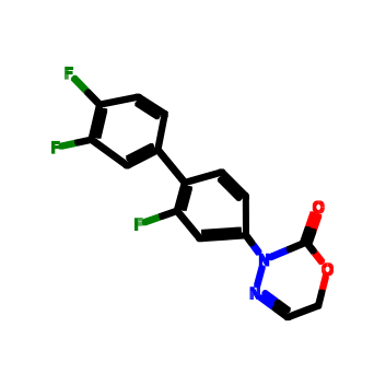 O=C1OCC=NN1c1ccc(-c2ccc(F)c(F)c2)c(F)c1